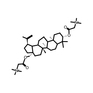 C=C(C)[C@@H]1CC[C@]2(COC(=O)C[N+](C)(C)C)CC[C@]3(C)C(CCC4[C@@]5(C)CC[C@H](OC(=O)C[N+](C)(C)C)C(C)(C)C5CC[C@]43C)C12